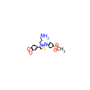 CS(=O)(=O)c1ccc(/N=c2\scc(-c3ccc4c(c3)OCO4)n2CCCN)cc1